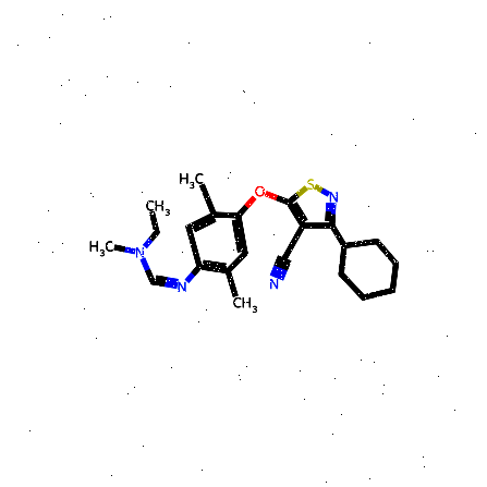 CCN(C)/C=N\c1cc(C)c(Oc2snc(C3CCCCC3)c2C#N)cc1C